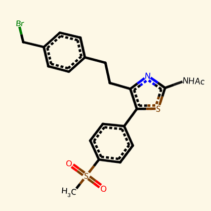 CC(=O)Nc1nc(CCc2ccc(CBr)cc2)c(-c2ccc(S(C)(=O)=O)cc2)s1